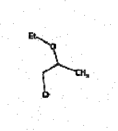 CCOC(C)C[O]